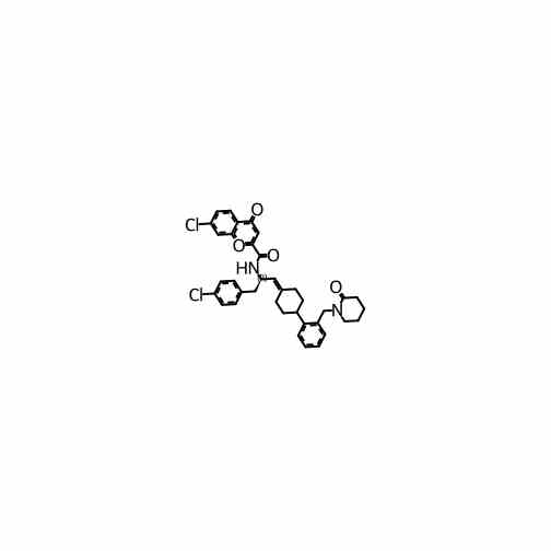 O=C(N[C@@H](C=C1CCC(c2ccccc2CN2CCCCC2=O)CC1)Cc1ccc(Cl)cc1)c1cc(=O)c2ccc(Cl)cc2o1